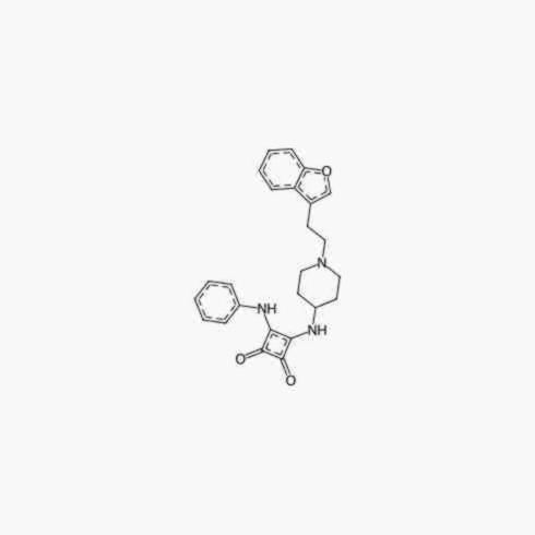 O=c1c(Nc2ccccc2)c(NC2CCN(CCc3coc4ccccc34)CC2)c1=O